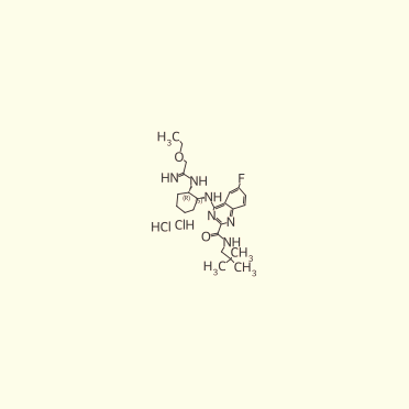 CCOCC(=N)N[C@@H]1CCCC[C@@H]1Nc1nc(C(=O)NCC(C)(C)C)nc2ccc(F)cc12.Cl.Cl